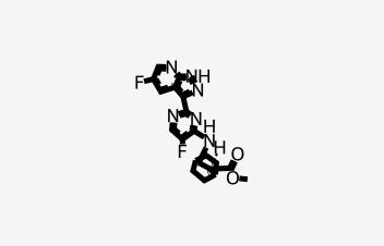 COC(=O)[C@H]1C2CCC(CC2)C1Nc1nc(-c2n[nH]c3ncc(F)cc23)ncc1F